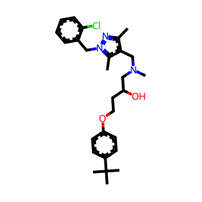 Cc1nn(Cc2ccccc2Cl)c(C)c1CN(C)CC(O)CCOc1ccc(C(C)(C)C)cc1